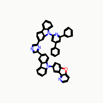 c1ccc(-c2cc(-c3ccccc3)nc(-n3c4ccccc4c4ccc(-c5cncc(-c6ccc7c(c6)c6ccccc6n7-c6ccc7oc8cccnc8c7c6)n5)cc43)c2)cc1